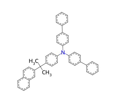 CC(C)(c1ccc(N(c2ccc(-c3ccccc3)cc2)c2ccc(-c3ccccc3)cc2)cc1)c1ccc2ccccc2c1